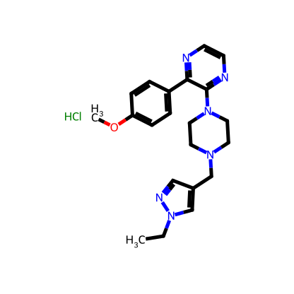 CCn1cc(CN2CCN(c3nccnc3-c3ccc(OC)cc3)CC2)cn1.Cl